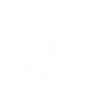 CNC(=O)[C@H](CCC(=O)OC(C)(C)C)NC(=O)OCC1c2ccccc2-c2ccccc21